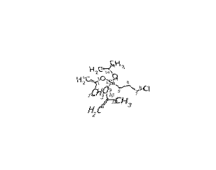 C=C(C)O[Si](CCCCl)(OC(=C)C)OC(=C)C